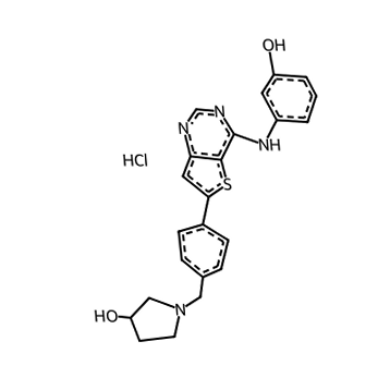 Cl.Oc1cccc(Nc2ncnc3cc(-c4ccc(CN5CCC(O)C5)cc4)sc23)c1